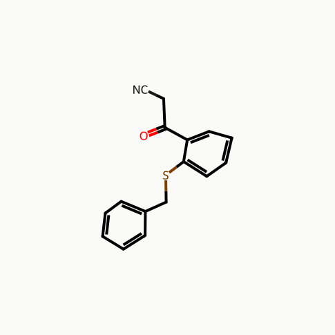 N#CCC(=O)c1ccccc1SCc1ccccc1